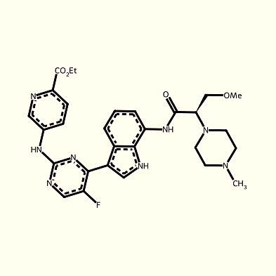 CCOC(=O)c1ccc(Nc2ncc(F)c(-c3c[nH]c4c(NC(=O)[C@@H](COC)N5CCN(C)CC5)cccc34)n2)cn1